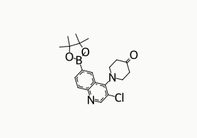 CC1(C)OB(c2ccc3ncc(Cl)c(N4CCC(=O)CC4)c3c2)OC1(C)C